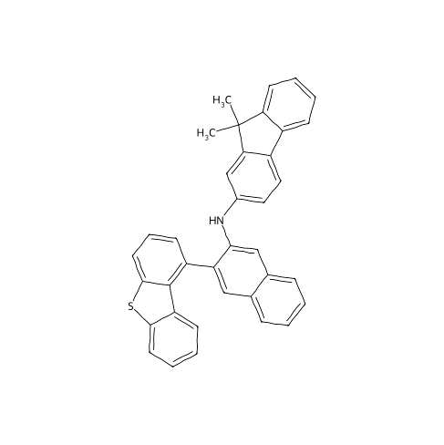 CC1(C)c2ccccc2-c2ccc(Nc3cc4ccccc4cc3-c3cccc4sc5ccccc5c34)cc21